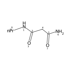 CCCNC(=O)CC(N)=O